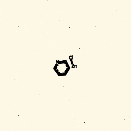 [Cl][Zn].c1ccncc1